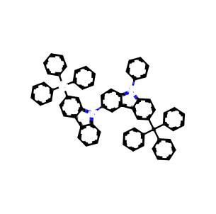 c1ccc(-n2c3ccc(-n4c5ccccc5c5ccc([Si](c6ccccc6)(c6ccccc6)c6ccccc6)cc54)cc3c3cc(C(c4ccccc4)(c4ccccc4)c4ccccc4)ccc32)cc1